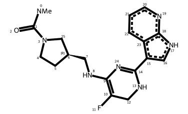 CNC(=O)N1CC[C@H](CNC2=C(F)CNC(c3c[nH]c4ncccc34)=N2)C1